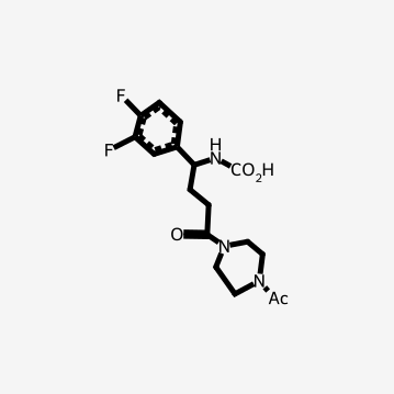 CC(=O)N1CCN(C(=O)CCC(NC(=O)O)c2ccc(F)c(F)c2)CC1